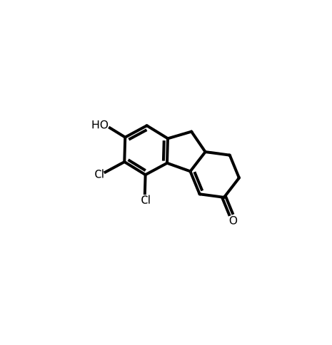 O=C1C=C2c3c(cc(O)c(Cl)c3Cl)CC2CC1